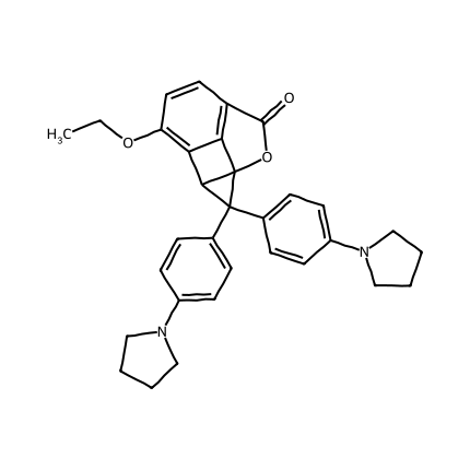 CCOc1ccc2c3c1C1C3(OC2=O)C1(c1ccc(N2CCCC2)cc1)c1ccc(N2CCCC2)cc1